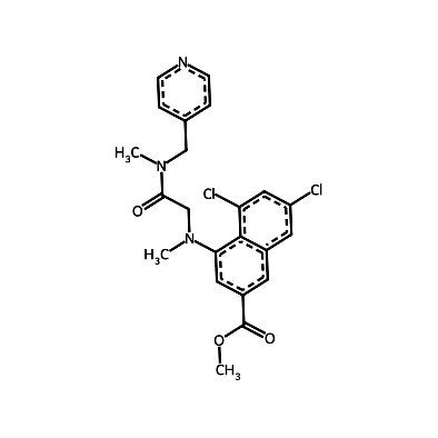 COC(=O)c1cc(N(C)CC(=O)N(C)Cc2ccncc2)c2c(Cl)cc(Cl)cc2c1